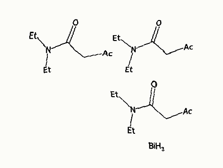 CCN(CC)C(=O)CC(C)=O.CCN(CC)C(=O)CC(C)=O.CCN(CC)C(=O)CC(C)=O.[BiH3]